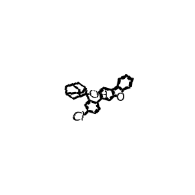 OC1(c2cc(Cl)ccc2-c2ccc3c(c2)oc2ccccc23)C2CC3CC(C2)CC1C3